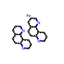 [Fe].c1cnc2c(c1)ccc1ncccc12.c1cnc2c(c1)ccc1ncccc12